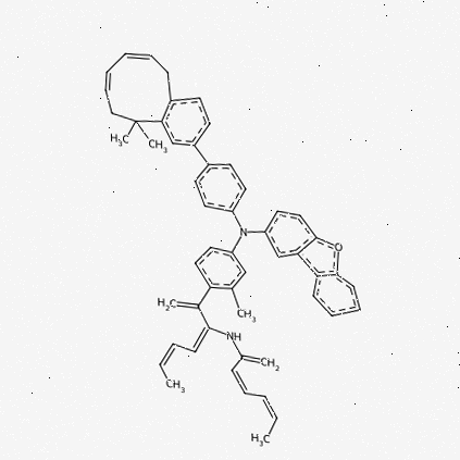 C=C(/C=C\C=C/C)N/C(=C/C=C\C)C(=C)c1ccc(N(c2ccc(-c3ccc4c(c3)C(C)(C)C/C=C\C=C/C4)cc2)c2ccc3oc4ccccc4c3c2)cc1C